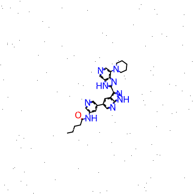 CCCCC(=O)Nc1cncc(-c2cnc3[nH]nc(-c4nc5c(N6CCCCC6)cncc5[nH]4)c3c2)c1